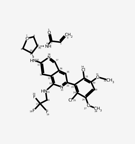 C=CC(=O)N[C@H]1COC[C@H]1Nc1cc2c(NCC(F)(F)F)nc(-c3c(Cl)c(OC)cc(OC)c3Cl)cc2cn1